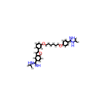 CC(C)NC(=N)c1ccc(OCCCCCCOc2cccc(-c3cc4cc(C(=N)NC(C)C)ccc4o3)c2)cc1